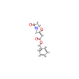 O=C(/C=C1\CN2C(=O)CC2O1)OCc1ccccc1